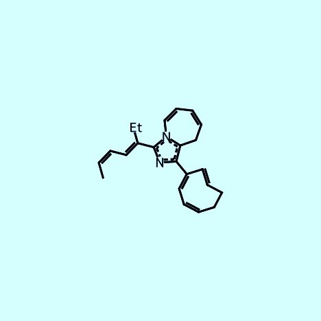 C/C=C\C=C(/CC)c1nc(C2=C/C=C\CC\C=C\2)c2n1C=CC=CC2